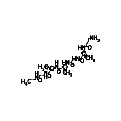 CCCNC(=O)CCNC(=O)c1cc(NC(=O)c2cc(NC(=O)CCNC(=O)c3cc(NC(=O)CCCN)cn3C)cn2C)cn1C